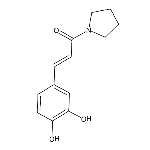 O=C(C=Cc1ccc(O)c(O)c1)N1CCCC1